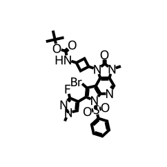 Cn1cc(-c2c(Br)c3c(ncc4c3n(C3CC(NC(=O)OC(C)(C)C)C3)c(=O)n4C)n2S(=O)(=O)c2ccccc2)c(F)n1